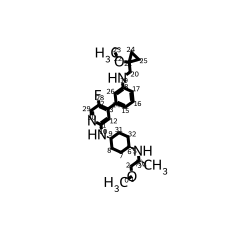 COC[C@@H](C)N[C@H]1CC[C@H](Nc2cc(-c3cccc(NCC4(OC)CC4)c3)c(F)cn2)CC1